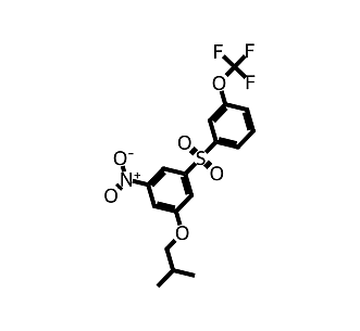 CC(C)COc1cc([N+](=O)[O-])cc(S(=O)(=O)c2cccc(OC(F)(F)F)c2)c1